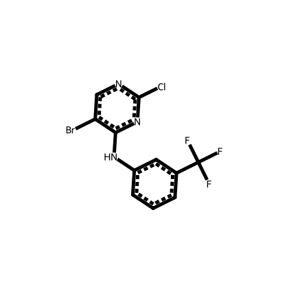 FC(F)(F)c1cccc(Nc2nc(Cl)ncc2Br)c1